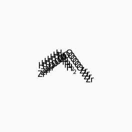 O.O.O.O.O.O.O.O.O.O.O.O.[Zr].[Zr].[Zr].[Zr].[Zr].[Zr].[Zr].[Zr]